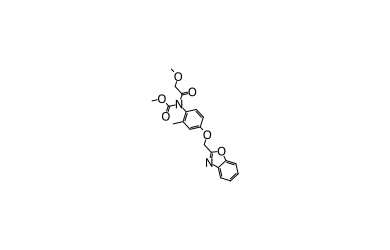 COCC(=O)N(C(=O)OC)c1ccc(OCc2nc3ccccc3o2)cc1C